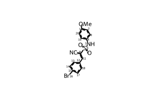 COc1ccc(NS(=O)(=O)/C(C#N)=C/c2ccc(Br)cc2)cc1